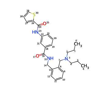 CCCN(CCC)Cc1ccccc1CNC(=O)c1cccc(NC(=O)c2cccs2)c1